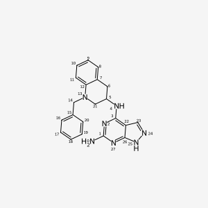 Nc1nc(NC2Cc3ccccc3N(Cc3ccccc3)C2)c2cn[nH]c2n1